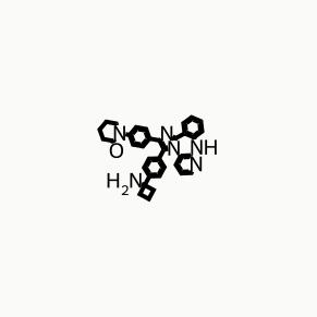 NC1(c2ccc(-c3c(-c4ccc(N5CCCCC5=O)cc4)nc4n3-c3cccnc3Nc3ccccc3-4)cc2)CCC1